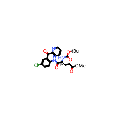 COC(=O)CC[C@H](NC(=O)OC(C)(C)C)C(=O)Nc1ccc(Cl)cc1C(=O)c1ccccn1